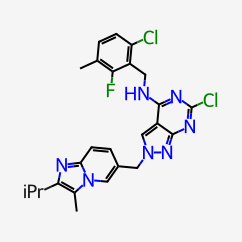 Cc1ccc(Cl)c(CNc2nc(Cl)nc3nn(Cc4ccc5nc(C(C)C)c(C)n5c4)cc23)c1F